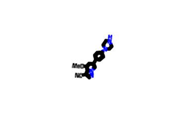 COc1cc(-c2ccc(N3CCNCC3)cc2)cn2ncc(C#N)c12